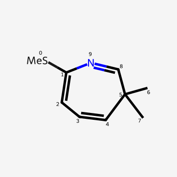 CSC1=CC=CC(C)(C)C=N1